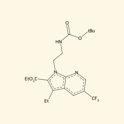 CCOC(=O)c1c(CC)c2cc(C(F)(F)F)cnc2n1CCNC(=O)OC(C)(C)C